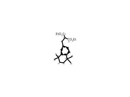 CCOC(=O)C(Cc1ccc2c(c1)C(C)(C)CCC2(C)C)C(=O)OCC